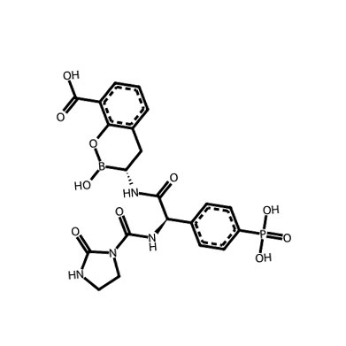 O=C(O)c1cccc2c1OB(O)[C@@H](NC(=O)[C@H](NC(=O)N1CCNC1=O)c1ccc(P(=O)(O)O)cc1)C2